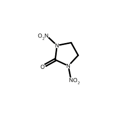 O=C1N([N+](=O)[O-])CCN1[N+](=O)[O-]